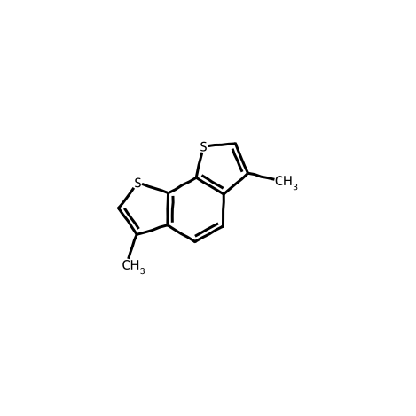 Cc1csc2c1ccc1c(C)csc12